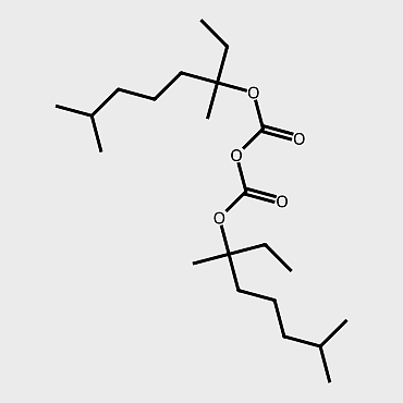 CCC(C)(CCCC(C)C)OC(=O)OC(=O)OC(C)(CC)CCCC(C)C